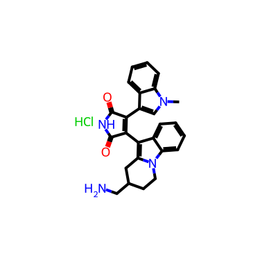 Cl.Cn1cc(C2=C(c3c4n(c5ccccc35)CCC(CN)C4)C(=O)NC2=O)c2ccccc21